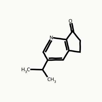 CC(C)c1cnc2c(c1)CCC2=O